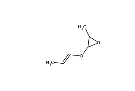 CC=COC1OC1C